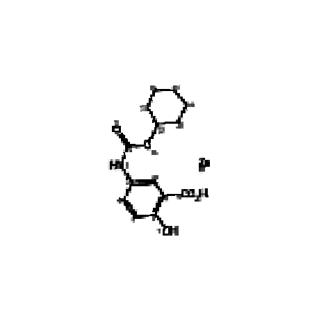 O=C(Nc1ccc(O)c(C(=O)O)c1)OC1CCCCC1.[Zn]